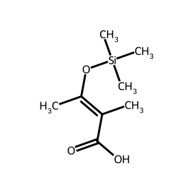 CC(O[Si](C)(C)C)=C(C)C(=O)O